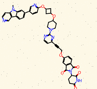 Cn1c2ccncc2c2ccc(-c3ccc(OC4CC(OC5CCN(c6nccc(C#CCOc7ccc8c(c7)C(=O)N(C7CCC(=O)NC7=O)C8=O)n6)CC5)C4)nc3)cc21